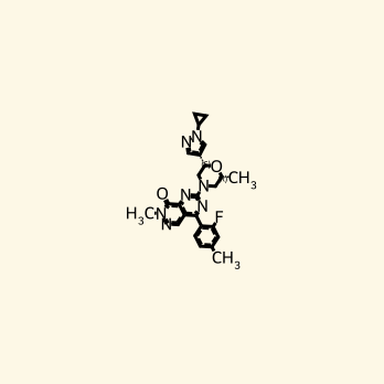 Cc1ccc(-c2nc(N3C[C@@H](C)O[C@@H](c4cnn(C5CC5)c4)C3)nc3c(=O)n(C)ncc23)c(F)c1